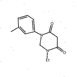 CCN1CN(c2cccc(C)c2)C(=O)CC1=O